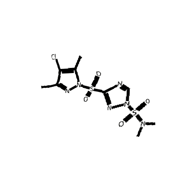 Cc1nn(S(=O)(=O)c2ncn(S(=O)(=O)N(C)C)n2)c(C)c1Cl